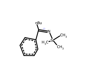 CCCC/C(=N/[Si](C)(C)C)c1ccccc1